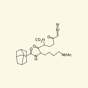 CC(=O)NCCCCC(NC(=O)C12CC3CC(CC(C3)C1)C2)C(=O)C(CCC(=O)C=[N+]=[N-])C(=O)O